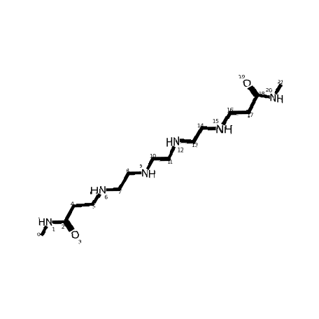 CNC(=O)CCNCCNCCNCCNCCC(=O)NC